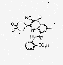 Cc1cc([C@@H](C)Nc2ccccc2C(=O)O)c2nc(N3CCS(=O)(=O)CC3)c(C#N)c(=O)n2c1